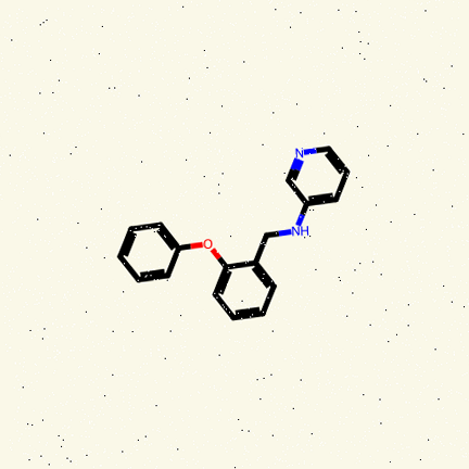 c1ccc(Oc2ccccc2CNc2cccnc2)cc1